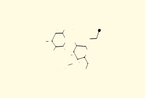 C#CCO[C@@H]1OC(CO)[C@H](OOO)[C@H](O[C@@H]2OC(C)[C@@H](O)[C@H](O)C2O)C1C